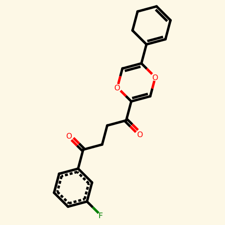 O=C(CCC(=O)c1cccc(F)c1)C1=COC(C2=CC=CCC2)=CO1